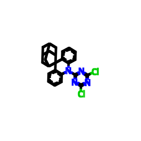 Clc1nc(Cl)nc(N2c3ccccc3C3(c4ccccc42)C2CC4CC(C2)CC3C4)n1